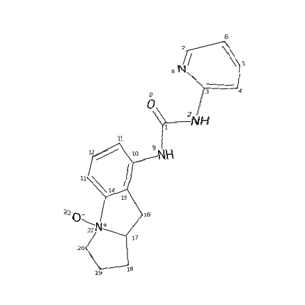 O=C(Nc1ccccn1)Nc1cccc2c1CC1CCC[N+]21[O-]